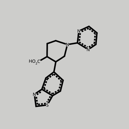 O=C(O)C1CCN(c2ncccn2)CC1c1ccc2scnc2c1